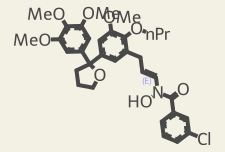 CCCOc1c(C/C=C/N(O)C(=O)c2cccc(Cl)c2)cc(C2(c3cc(OC)c(OC)c(OC)c3)CCCO2)cc1OC